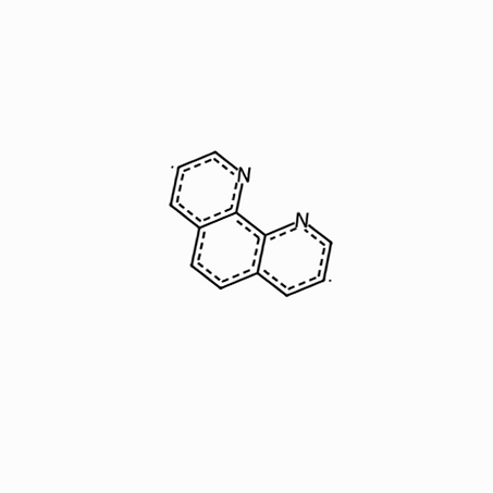 [c]1cnc2c(c1)ccc1c[c]cnc12